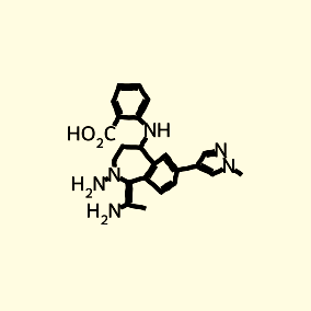 C/C(N)=C1\c2ccc(-c3cnn(C)c3)cc2C(Nc2ccccc2C(=O)O)CCN1N